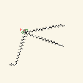 CCCCCCCCCCCCCCCCCCCCCCCCCCCCCCC(CCCCCCCCCCCCCCCCCCCCCCCCCCCCCC)(CCCCCCCCCCCCCCCCCCCCCCCCCCCCCC)[Si](O)(Cl)Cl